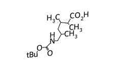 CC(CNC(=O)OC(C)(C)C)CC(C)C(C)C(=O)O